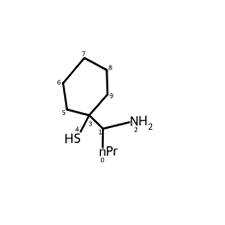 CCCC(N)C1(S)CCCCC1